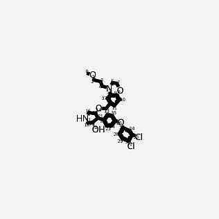 COCCCN1CCOc2ccc(CO[C@H]3CNC[C@@H](O)C3c3ccc(Oc4ccc(Cl)c(Cl)c4)cc3)cc21